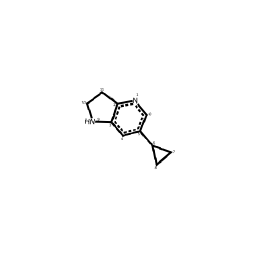 c1nc2c(cc1C1CC1)NCC2